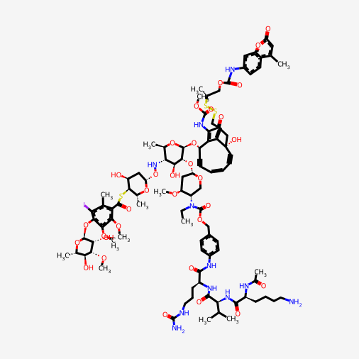 CCN(C(=O)OCc1ccc(NC(=O)[C@H](CCCNC(N)=O)NC(=O)[C@@H](NC(=O)[C@H](CCCCN)NC(C)=O)C(C)C)cc1)[C@H]1CO[C@@H](O[C@H]2[C@H](O[C@H]3C#CC=CC#C[C@]4(O)CC(=O)C(NC(=O)OC)=C3/C4=C\CSS[C@H](C)COC(=O)Nc3ccc4c(C)cc(=O)oc4c3)O[C@H](C)[C@@H](NO[C@H]3C[C@H](O)[C@H](SC(=O)c4c(C)c(I)c(O[C@@H]5O[C@@H](C)[C@H](O)[C@@H](OC)[C@H]5O)c(OC)c4OC)[C@@H](C)O3)[C@@H]2O)C[C@@H]1OC